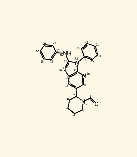 O=CN1CCCCC1c1cnc2c(c1)nc(Nc1ccccc1)n2-c1ccccc1